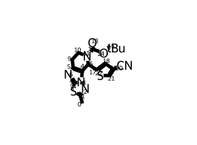 Cc1nn2c3c(nc2s1)CCN(C(=O)OC(C)(C)C)C3c1cc(C#N)cs1